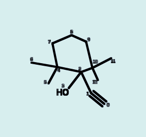 C#CC1(O)C(C)(C)CCCC1(C)C